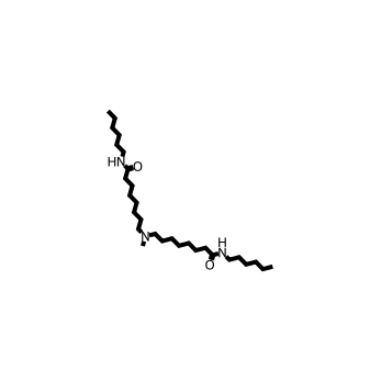 CCCCCCNC(=O)CCCCCCCN(C)CCCCCCCC(=O)NCCCCCC